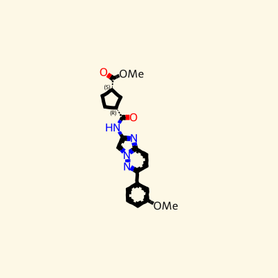 COC(=O)[C@H]1CC[C@@H](C(=O)Nc2cn3nc(-c4cccc(OC)c4)ccc3n2)C1